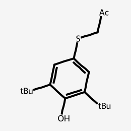 CC(=O)CSc1cc(C(C)(C)C)c(O)c(C(C)(C)C)c1